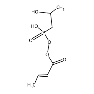 CC=CC(=O)OOP(=O)(O)CC(C)O